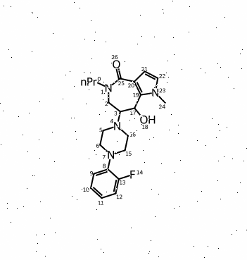 CCCN1CC(N2CCN(c3ccccc3F)CC2)C(O)c2c(ccn2C)C1=O